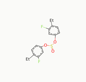 CCc1ccc(OS(=O)Oc2ccc(CC)c(F)c2)cc1F